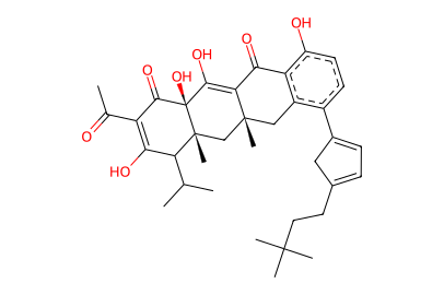 CC(=O)C1=C(O)C(C(C)C)[C@@]2(C)C[C@@]3(C)Cc4c(C5=CC=C(CCC(C)(C)C)C5)ccc(O)c4C(=O)C3=C(O)[C@@]2(O)C1=O